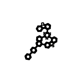 c1ccc(-c2ccc(-c3cccc(-c4ccc5sc6cccc(-c7nc(-c8ccccc8)nc(-c8cccc9oc%10ccccc%10c89)n7)c6c5c4)c3)cc2)cc1